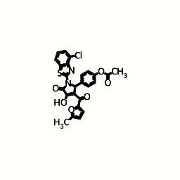 CC(=O)Oc1ccc(C2C(C(=O)c3ccc(C)o3)=C(O)C(=O)N2c2nc3c(Cl)cccc3s2)cc1